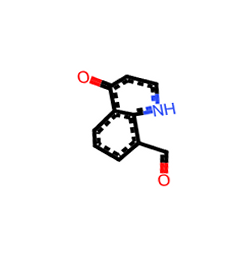 O=Cc1cccc2c(=O)cc[nH]c12